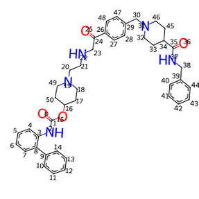 O=C(Nc1ccccc1-c1ccccc1)OC1CCN(CCNCC(=O)c2ccc(CN3CCC(C(=O)NCc4ccccc4)CC3)cc2)CC1